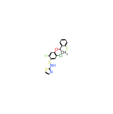 CC(Oc1cc(F)c(SNc2nccs2)cc1Cl)c1ccccc1F